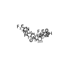 O=C1c2cc(F)c(-c3ncc(C(F)(F)F)cn3)cc2CCN1C[C@@H]1CCC[C@H](Nc2cn[nH]c(=O)c2C(F)(F)F)C1